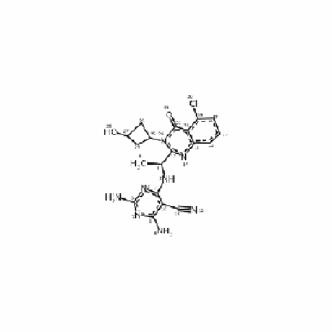 C[C@H](Nc1nc(N)nc(N)c1C#N)c1nc2cccc(Cl)c2c(=O)n1C1CC(O)C1